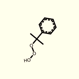 CC(C)(OOO)c1ccccc1